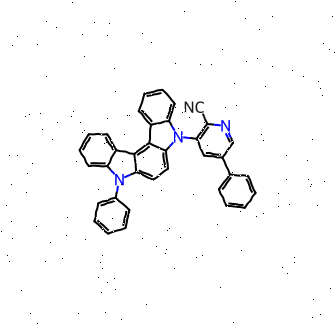 N#Cc1ncc(-c2ccccc2)cc1-n1c2ccccc2c2c3c4ccccc4n(-c4ccccc4)c3ccc21